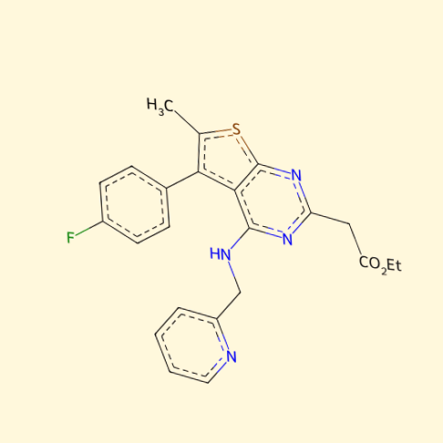 CCOC(=O)Cc1nc(NCc2ccccn2)c2c(-c3ccc(F)cc3)c(C)sc2n1